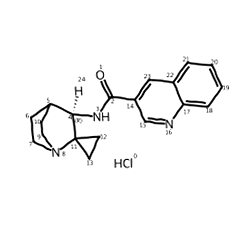 Cl.O=C(N[C@@H]1C2CCN(CC2)C12CC2)c1cnc2ccccc2c1